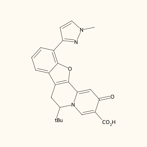 Cn1ccc(-c2cccc3c4c(oc23)-c2cc(=O)c(C(=O)O)cn2C(C(C)(C)C)C4)n1